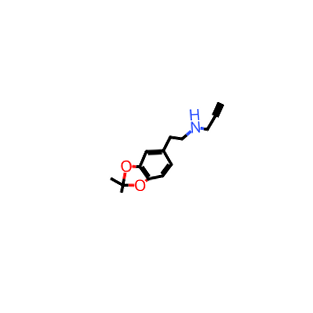 C#CCNCCc1ccc2c(c1)OC(C)(C)O2